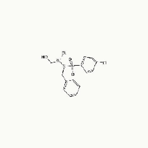 CC[C@@H](CO)N(Cc1ccccc1)S(=O)(=O)c1ccc(Cl)cc1